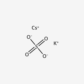 O=S(=O)([O-])[O-].[Cs+].[K+]